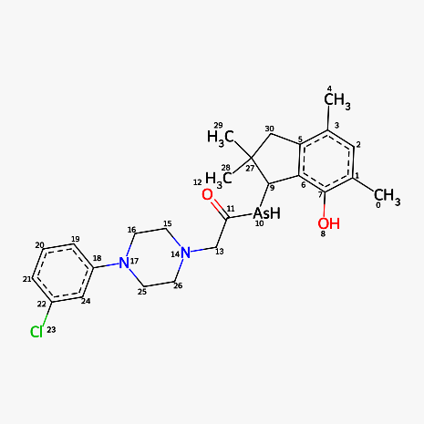 Cc1cc(C)c2c(c1O)C([AsH]C(=O)CN1CCN(c3cccc(Cl)c3)CC1)C(C)(C)C2